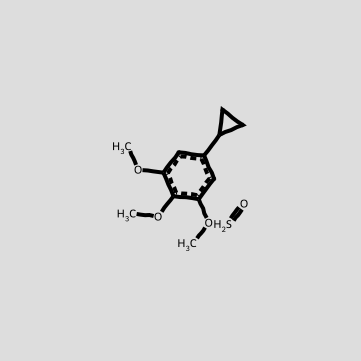 COc1cc(C2CC2)cc(OC)c1OC.O=[SH2]